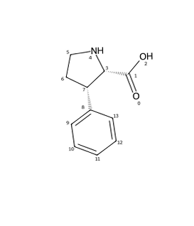 O=C(O)[C@H]1NCC[C@H]1c1ccccc1